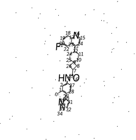 Cc1cc(NC(=O)C2CC3(CCC(c4ccnc5ccc(F)cc45)CC3)C2)ccc1-c1ccn(C)n1